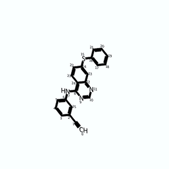 C#Cc1cccc(Nc2ncnc3cc(Sc4ccccc4)ccc23)c1